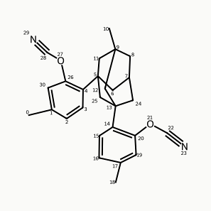 Cc1ccc(C23CC4CC(C)(C2)CC(c2ccc(C)cc2OC#N)(C4)C3)c(OC#N)c1